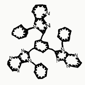 c1ccc(-n2c(-c3cc(-c4nc5nccnc5n4-c4ccccc4)cc(-c4nc5nccnc5n4-c4ccccc4)c3)nc3ncccc32)cc1